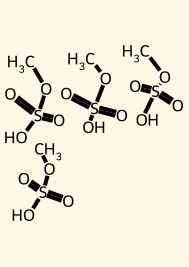 COS(=O)(=O)O.COS(=O)(=O)O.COS(=O)(=O)O.COS(=O)(=O)O